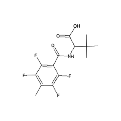 Cc1c(F)c(F)c(C(=O)NC(C(=O)O)C(C)(C)C)c(F)c1F